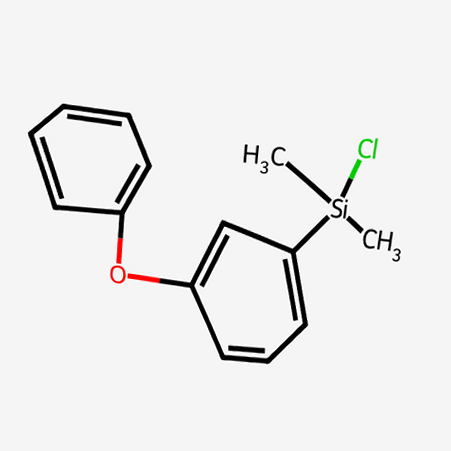 C[Si](C)(Cl)c1cccc(Oc2ccccc2)c1